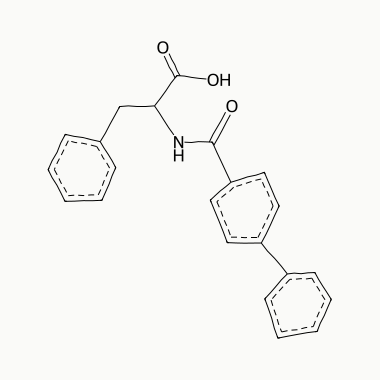 O=C(NC(Cc1ccccc1)C(=O)O)c1ccc(-c2ccccc2)cc1